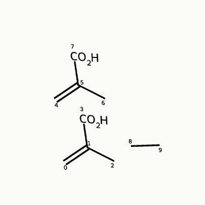 C=C(C)C(=O)O.C=C(C)C(=O)O.CC